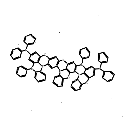 c1ccc(N(c2ccccc2)c2cc3c4c(c2)N(c2ccccc2)c2ccccc2B4c2cc4c(cc2O3)Oc2cc3c(c5c2B4c2ccccc2O5)B2c4ccccc4Oc4cc(N(c5ccccc5)c5ccccc5)cc(c42)N3c2ccccc2)cc1